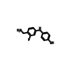 NCc1ccc(Nc2ccc(O)cc2)cc1F